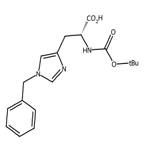 CC(C)(C)OC(=O)N[C@H](Cc1cn(Cc2ccccc2)cn1)C(=O)O